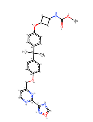 CC(C)(C)OC(=O)N[C@H]1C[C@@H](Oc2ccc(C(C)(C)c3ccc(OCc4ccnc(-c5ncon5)n4)cc3)cc2)C1